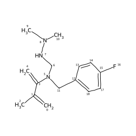 C=C(C)C(=C)N(CNN(C)C)Cc1ccc(F)cc1